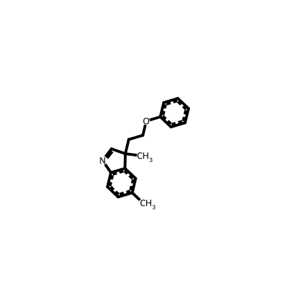 Cc1ccc2c(c1)C(C)(CCOc1ccccc1)C=N2